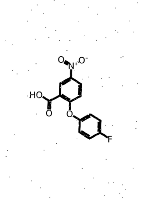 O=C(O)c1cc([N+](=O)[O-])ccc1Oc1ccc(F)cc1